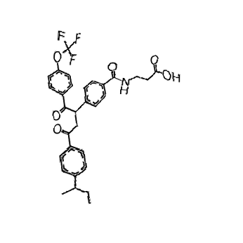 CCC(C)c1ccc(C(=O)CC(C(=O)c2ccc(OC(F)(F)F)cc2)c2ccc(C(=O)NCCC(=O)O)cc2)cc1